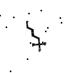 [CH2]C/C=C/CC(F)(F)F